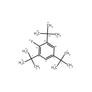 CC(C)(C)c1cc(C(C)(C)C)c(F)c(C(C)(C)C)c1